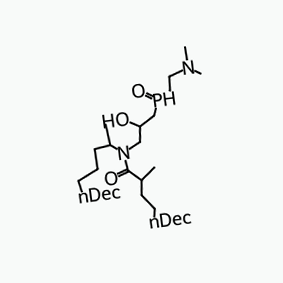 CCCCCCCCCCCCCC(C)N(CC(O)C[PH](=O)CCN(C)C)C(=O)C(C)CCCCCCCCCCCC